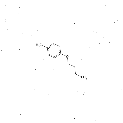 CCCCOc1ccc(C)cc1